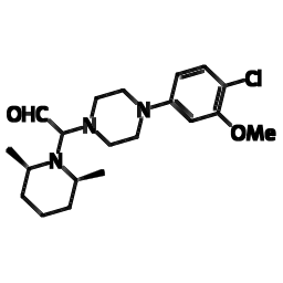 COc1cc(N2CCN(C(C=O)N3[C@H](C)CCC[C@@H]3C)CC2)ccc1Cl